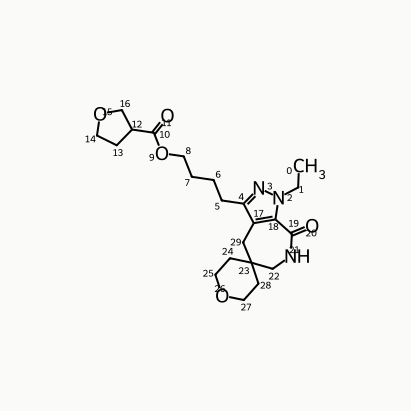 CCn1nc(CCCCOC(=O)C2CCOC2)c2c1C(=O)NCC1(CCOCC1)C2